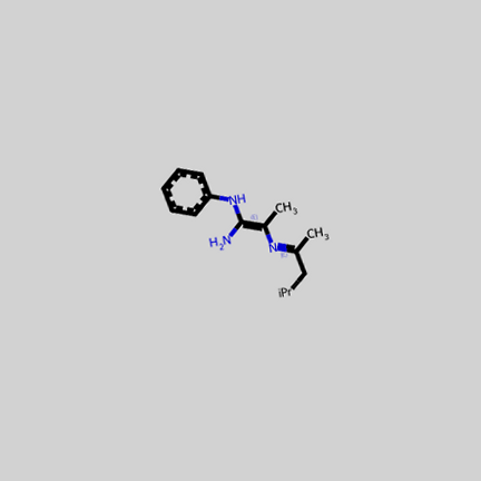 C/C(CC(C)C)=N\C(C)=C(/N)Nc1ccccc1